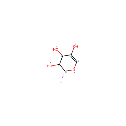 OC1=CO[C@H](I)C(O)C1O